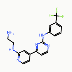 NCCNc1cc(-c2ccnc(Nc3cccc(C(F)(F)F)c3)n2)ccn1